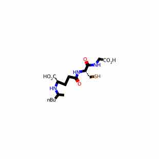 CCCCC(C)N[C@@H](CCC(=O)N[C@@H](CS)C(=O)NCC(=O)O)C(=O)O